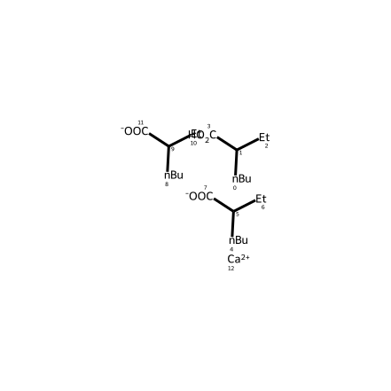 CCCCC(CC)C(=O)O.CCCCC(CC)C(=O)[O-].CCCCC(CC)C(=O)[O-].[Ca+2]